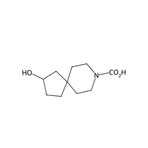 O=C(O)N1CCC2(CCC(O)C2)CC1